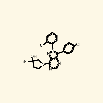 CC(C)C1(O)CCN(c2ncnc3c(-c4ccc(Cl)cc4)n(-c4ccccc4Cl)nc23)C1